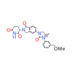 COCc1cccc(N2C(=O)N(c3ccc4c(c3)CN(C3CCC(=O)NC3=O)C4=O)C[C@H]2C)c1